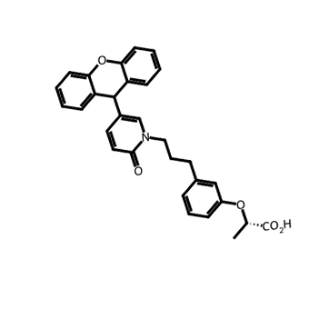 C[C@H](Oc1cccc(CCCn2cc(C3c4ccccc4Oc4ccccc43)ccc2=O)c1)C(=O)O